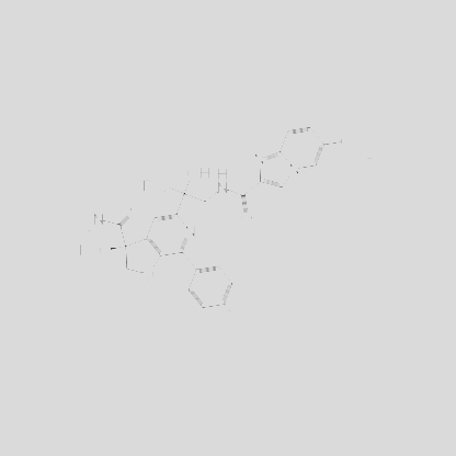 C[C@]1(C(N)=O)COc2c1cc(C(O)(CNC(=O)c1cn3cc(OC(F)(F)F)ccc3n1)C(F)(F)F)nc2-c1ccc(F)cc1